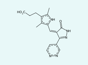 Cc1[nH]c(C=C2C(=O)NN=C2c2ccnnc2)c(C)c1CCC(=O)O